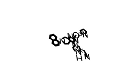 CN1CCC[C@H]1COc1nc2c(c(N3CCN[C@H](CC#N)C3)n1)CCN(c1cccc3ccccc13)CC2